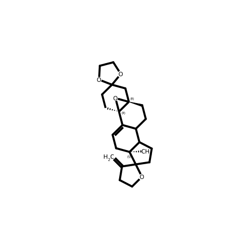 C=C1CCOC12CCC1C3CC[C@@]45CC6(CC[C@@]4(O5)C3=CC[C@@]12C)OCCO6